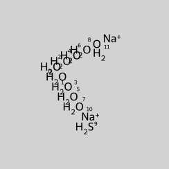 O.O.O.O.O.O.O.O.O.S.[Na+].[Na+]